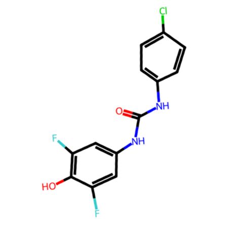 O=C(Nc1ccc(Cl)cc1)Nc1cc(F)c(O)c(F)c1